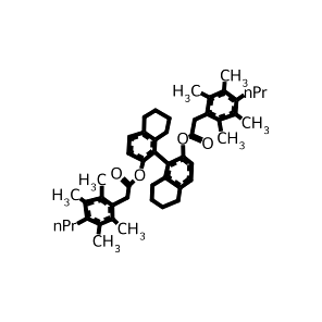 CCCc1c(C)c(C)c(CC(=O)Oc2ccc3c(c2-c2c(OC(=O)Cc4c(C)c(C)c(CCC)c(C)c4C)ccc4c2CCCC4)CCCC3)c(C)c1C